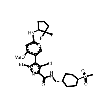 CCn1nc(C(=O)NC[C@H]2CC[C@H](S(C)(=O)=O)CC2)c(Cl)c1-c1cnc(N[C@H]2CCCC2(F)F)cc1OC